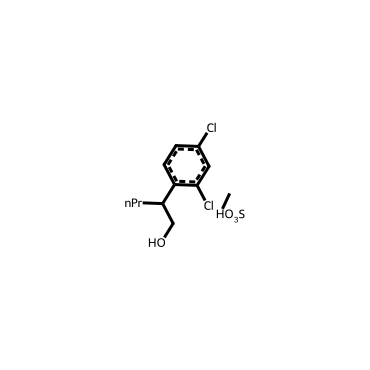 CCCC(CO)c1ccc(Cl)cc1Cl.CS(=O)(=O)O